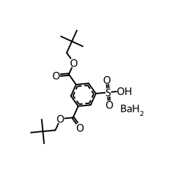 CC(C)(C)COC(=O)c1cc(C(=O)OCC(C)(C)C)cc(S(=O)(=O)O)c1.[BaH2]